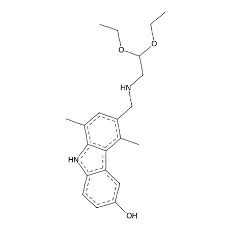 CCOC(CNCc1cc(C)c2[nH]c3ccc(O)cc3c2c1C)OCC